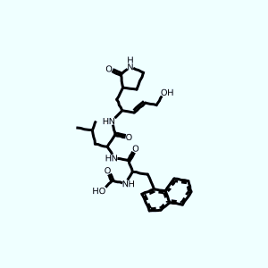 CC(C)CC(NC(=O)C(Cc1cccc2ccccc12)NC(=O)O)C(=O)NC(/C=C/CO)CC1CCNC1=O